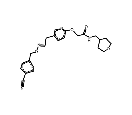 N#Cc1ccc(CON=CCc2ccc(OCC(=O)NCC3CCOCC3)nc2)cc1